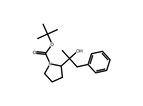 CC(C)(C)OC(=O)N1CCCC1C(C)(O)Cc1ccccc1